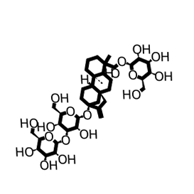 C=C1C[C@]23CC[C@H]4C(C)(C(=O)O[C@@H]5O[C@H](CO)[C@@H](O)[C@H](O)[C@H]5O)CCC[C@]4(C)[C@H]2CC[C@]1(O[C@@H]1O[C@H](CO)[C@@H](O)[C@H](O[C@@H]2O[C@H](CO)[C@@H](O)[C@H](O)[C@H]2O)[C@H]1O)C3